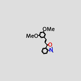 COc1cc(C=CC(=O)c2ccccc2N(C)C)cc(OC)c1